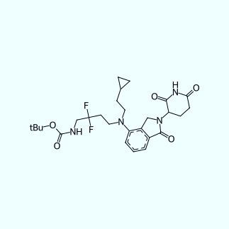 CC(C)(C)OC(=O)NCC(F)(F)CCN(CCC1CC1)c1cccc2c1CN(C1CCC(=O)NC1=O)C2=O